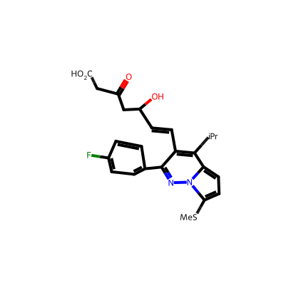 CSc1ccc2c(C(C)C)c(/C=C/C(O)CC(=O)CC(=O)O)c(-c3ccc(F)cc3)nn12